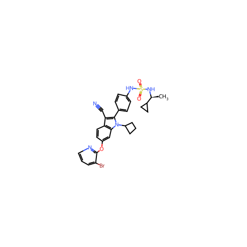 C[C@H](NS(=O)(=O)Nc1ccc(-c2c(C#N)c3ccc(Oc4ncccc4Br)cc3n2C2CCC2)cc1)C1CC1